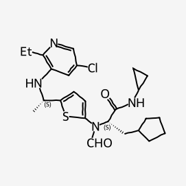 CCc1ncc(Cl)cc1N[C@@H](C)c1ccc(N(C=O)[C@@H](CC2CCCC2)C(=O)NC2CC2)s1